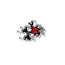 C=C/C=C\C(C#N)=C/c1ccc(-n2c3ccc(C(C)(C)C)cc3c3cc(C(C)(C)C)ccc32)c(-c2cc(-c3nc(-c4cc(C(C)(C)C)cc(C(C)(C)C)c4)nc(-c4cc(C(C)(C)C)cc(C(C)(C)C)c4)n3)ccc2-n2c3ccc(C(C)(C)C)cc3c3cc(C(C)(C)C)ccc32)c1